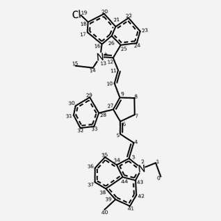 CCn1/c(=C/C=C2\CCC(/C=C/C3=[N+](CC)c4cc(Cl)cc5cccc3c45)=C2c2ccccc2)c2cccc3c(C)ccc1c32